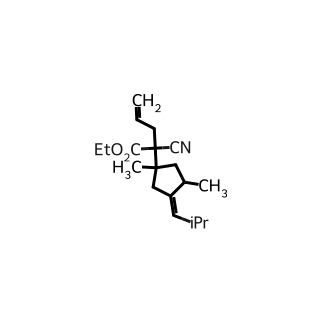 C=CCC(C#N)(C(=O)OCC)C1(C)C/C(=C/C(C)C)C(C)C1